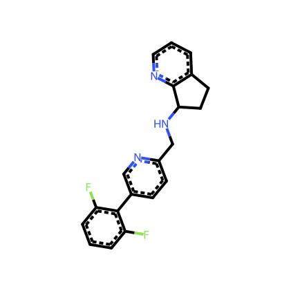 Fc1cccc(F)c1-c1ccc(CNC2CCc3cccnc32)nc1